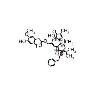 C=C(C)[C@]12C[C@@H](C)[C@@]34OC(Cc5ccccc5)(O[C@@H]1[C@@H]3C=C(COC(=O)Cc1cc(OC)c(O)cc1I)C[C@]1(O)C(=O)C(C)=C[C@@H]41)O2